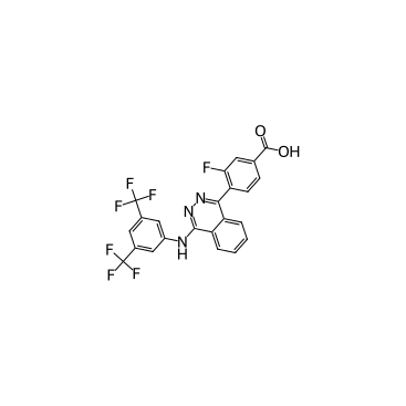 O=C(O)c1ccc(-c2nnc(Nc3cc(C(F)(F)F)cc(C(F)(F)F)c3)c3ccccc23)c(F)c1